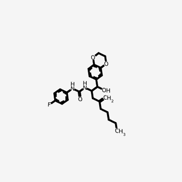 C=C(CCCCC)CC(NC(=O)Nc1ccc(F)cc1)C(O)c1ccc2c(c1)OCCO2